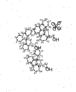 Cc1ccccc1[P+](CCCO)(c1ccccc1C)c1ccccc1C.Cc1ccccc1[P+](CCCO)(c1ccccc1C)c1ccccc1C.Cc1ccccc1[P+](CCCO)(c1ccccc1C)c1ccccc1C.O=P([O-])([O-])[O-]